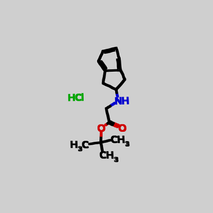 CC(C)(C)OC(=O)CNC1Cc2ccccc2C1.Cl